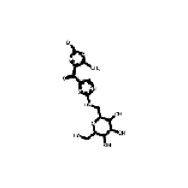 Cc1nc(Br)sc1C(=O)c1cnc(NCC2OC(CO)C(O)C(O)C2O)s1